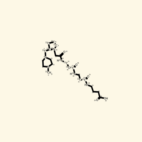 [13CH3]N1CCN([13CH2][13CH]2[13CH2][13CH2][13CH2][15N]2CC(=O)[15NH][13CH2][13CH2][13C](=O)[15NH]C[13CH2][13C](=O)NCCCC(=O)O)CC1